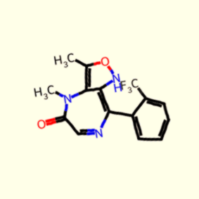 CC1=C2C(=C(c3ccccc3C(F)(F)F)N=CC(=O)N2C)NO1